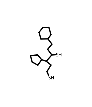 SCCC(C(S)CCC1CCCCC1)C1CCCC1